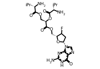 CC(C)[C@H](N)C(=O)OC[C@@H](OC(=O)[C@@H](N)C(C)C)C(=O)OC[C@H]1O[C@@H](n2cnc3c(=O)[nH]c(N)nc32)CC1F